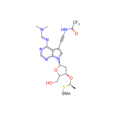 CSS[C@H](C)O[C@@H]1C[C@H](n2cc(C#CNC(=O)C(F)(F)F)c3c(/N=C/N(C)C)ncnc32)OC1CO